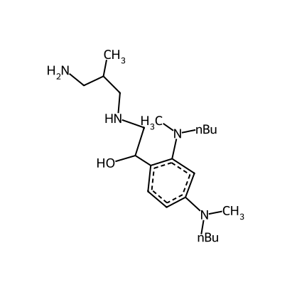 CCCCN(C)c1ccc(C(O)CNCC(C)CN)c(N(C)CCCC)c1